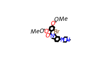 COCOc1cc(Br)c(C(=O)N2Cc3ccc(N4CCN(C)CC4)cc3C2)c(OCOC)c1